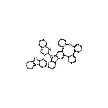 c1ccc2nc(-n3c4ccccc4c4cc5c(cc43)c3ccccc3sc3ccccc3c3ccccc35)c(-c3cccc4c3oc3ccccc34)nc2c1